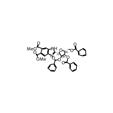 COC(=O)c1cc2nc([C@@H]3O[C@H](COC(=O)c4ccccc4)[C@@H](OC(=O)c4ccccc4)[C@H]3OC(=O)c3ccccc3)[nH]c2cc1C(=O)OC